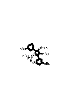 CCCCCCC1=C(c2cccc(CCCC)c2)[N+](=[N-])C(c2cccc(CCCC)c2)=C1CCCC.CCC[CH2][Pd][CH2]CCC